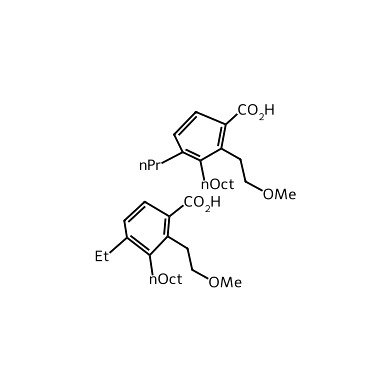 CCCCCCCCc1c(CC)ccc(C(=O)O)c1CCOC.CCCCCCCCc1c(CCC)ccc(C(=O)O)c1CCOC